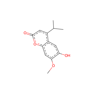 COc1cc2oc(=O)cc(C(C)C)c2cc1O